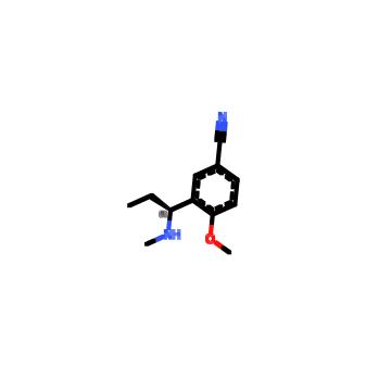 CC[C@H](NC)c1cc(C#N)ccc1OC